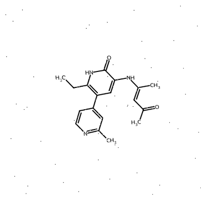 CCc1[nH]c(=O)c(NC(C)=CC(C)=O)cc1-c1ccnc(C)c1